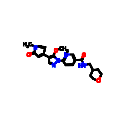 COc1c(-c2ccn(C)c(=O)c2)cnn1-c1ccc(C(=O)NCC2CCOCC2)cn1